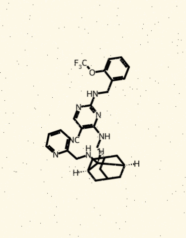 N#Cc1cnc(NCc2ccccc2OC(F)(F)F)nc1NC[C@@]12CC3C[C@H](C1)[C@@H](NCc1ccccn1)[C@@H](C3)C2